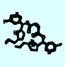 CCC[C@@H]1CC[C@H]([C@@H](OC(=O)/C=C\C(=O)O[C@@H](c2cncc(F)c2)[C@H]2CC[C@@H](CCC)N2)c2cncc(F)c2)N1